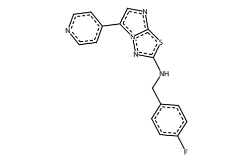 Fc1ccc(CNc2nn3c(-c4ccncc4)cnc3s2)cc1